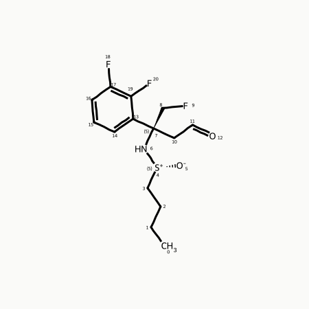 CCCC[S@@+]([O-])N[C@@](CF)(CC=O)c1cccc(F)c1F